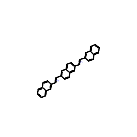 C(=C\c1ccc2cc(/C=C/c3ccc4ccccc4c3)ccc2c1)/c1ccc2ccccc2c1